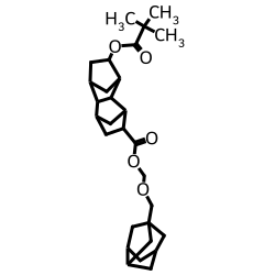 CC(C)(C)C(=O)OC1CC2CC1C1C3CC(CC3C(=O)OCOCC34CC5CC(C3)C(C5)C4)C21